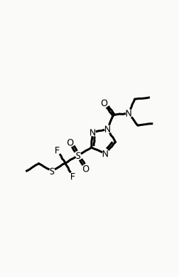 CCSC(F)(F)S(=O)(=O)c1ncn(C(=O)N(CC)CC)n1